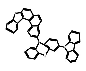 c1ccc2c(c1)Sc1cc(-n3c4ccccc4c4ccccc43)ccc1N2c1ccc2c(ccc3ccc4sc5ccccc5c4c32)c1